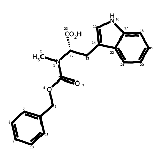 CN(C(=O)OCc1ccccc1)[C@@H](Cc1c[nH]c2ccccc12)C(=O)O